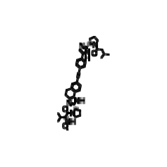 CON[C@H](C(=O)N1CCC[C@H]1c1nc2c([nH]1)-c1ccc(C#Cc3ccc(-c4cnc([C@@H]5CCCN5C(=O)CC(C)C)[nH]4)cc3)cc1CC2)C(C)C